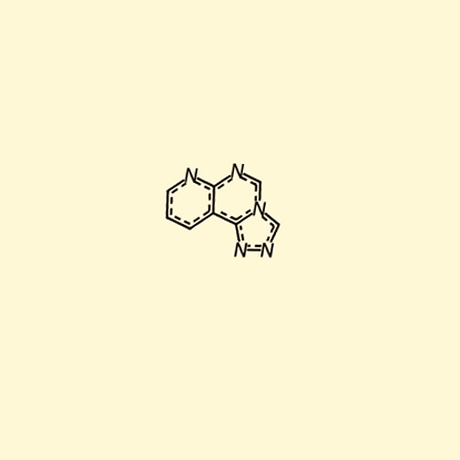 c1cnc2ncn3cnnc3c2c1